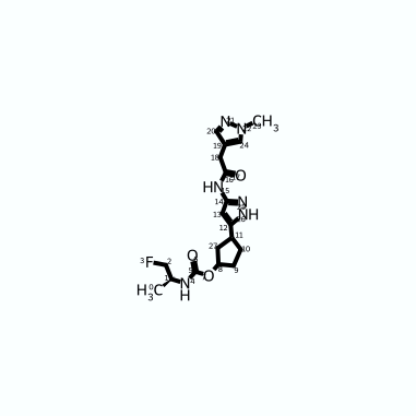 C[C@@H](CF)NC(=O)OC1CCC(c2cc(NC(=O)Cc3cnn(C)c3)n[nH]2)C1